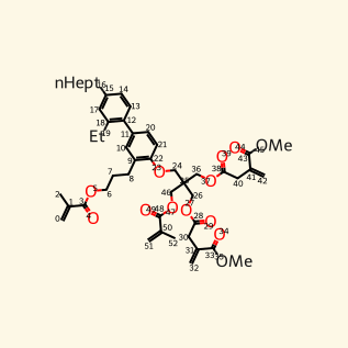 C=C(C)C(=O)OCCCc1cc(-c2ccc(CCCCCCC)cc2CC)ccc1OCC(COC(=O)CC(=C)C(=O)OC)(COC(=O)CC(=C)C(=O)OC)COC(=O)C(=C)C